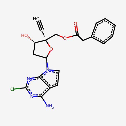 C#C[C@]1(COC(=O)Cc2ccccc2)O[C@@H](n2ccc3c(N)nc(Cl)nc32)C[C@@H]1O